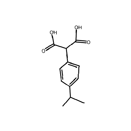 CC(C)c1ccc(C(C(=O)O)C(=O)O)cc1